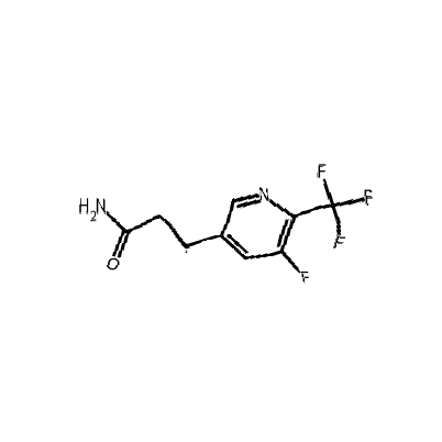 NC(=O)C[CH]c1cnc(C(F)(F)F)c(F)c1